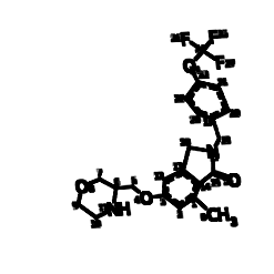 Cc1cc(OCC2COCCN2)cc2c1C(=O)N(Cc1ccc(OC(F)(F)F)cc1)C2